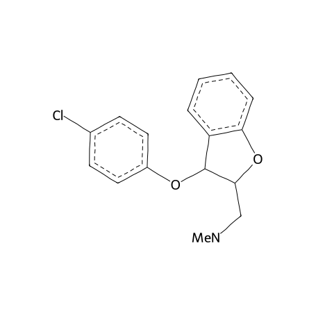 CNCC1Oc2ccccc2C1Oc1ccc(Cl)cc1